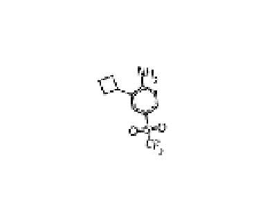 Nc1ccc(S(=O)(=O)C(F)(F)F)cc1C1CCC1